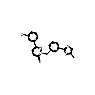 Cc1cnc(-c2cccc(Cn3nc(-c4cccc(Cl)c4)ccc3=S)c2)s1